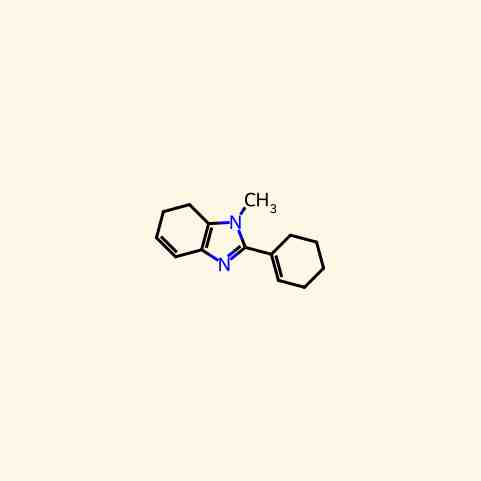 Cn1c(C2=CCCCC2)nc2c1CCC=C2